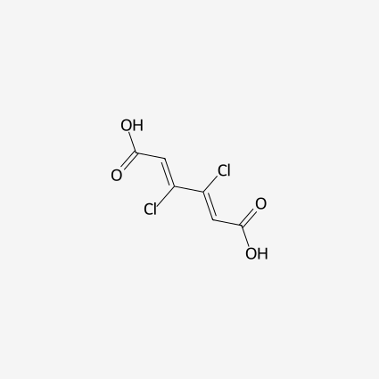 O=C(O)C=C(Cl)C(Cl)=CC(=O)O